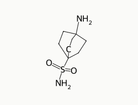 NC12CCC(S(N)(=O)=O)(CC1)CC2